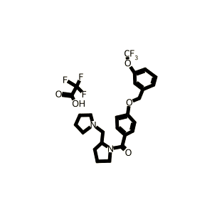 O=C(O)C(F)(F)F.O=C(c1ccc(OCc2cccc(OC(F)(F)F)c2)cc1)N1CCCC1CN1CCCC1